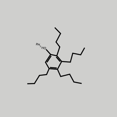 CCCCc1cc(O)c(CCCC)c(CCCC)c1CCCC.P